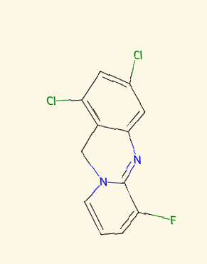 FC1=CC=CN2Cc3c(Cl)cc(Cl)cc3N=C12